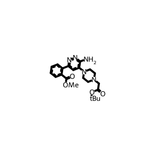 COC(=O)c1ccccc1-c1cc(N2CCN(CC(=O)OC(C)(C)C)CC2)c(N)nn1